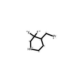 CC(C)CC1CCNCC1(F)F